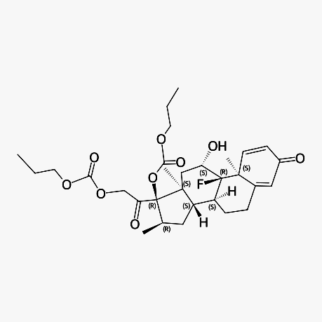 CCCOC(=O)OCC(=O)[C@@]1(OC(=O)OCCC)[C@H](C)C[C@H]2[C@@H]3CCC4=CC(=O)C=C[C@]4(C)[C@@]3(F)[C@@H](O)C[C@@]21C